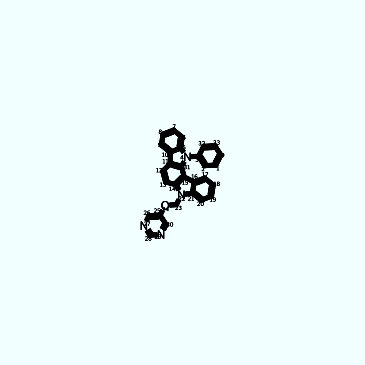 c1ccc(-n2c3ccccc3c3ccc4c(c5ccccc5n4COc4cncnc4)c32)cc1